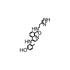 Cc1ccc(O)cc1Nc1ccnc2c(C(=O)NCCc3c[nH]cn3)cccc12